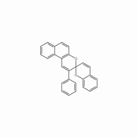 C1=CC2(Oc3ccccc31)Oc1ccc3ccccc3c1C=C2c1ccccc1